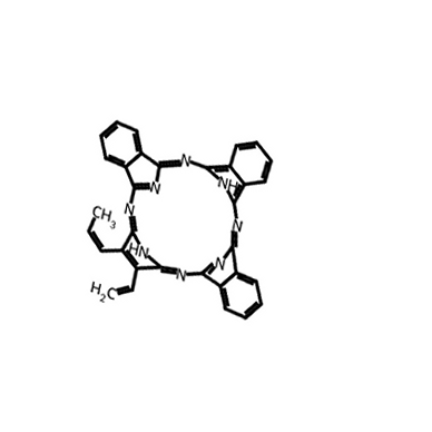 C=Cc1c(/C=C\C)c2nc3nc(nc4[nH]c(nc5nc(nc1[nH]2)-c1ccccc1-5)c1ccccc41)-c1ccccc1-3